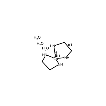 C1C[NH][Co]23([NH]1)([NH]CC[NH]2)[NH]CC[NH]3.Cl.O.O.O